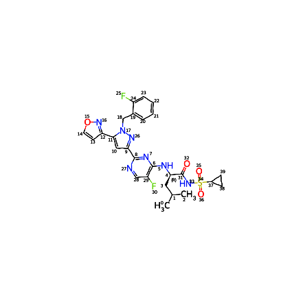 CC(C)C[C@@H](Nc1nc(-c2cc(-c3ccon3)n(Cc3ccccc3F)n2)ncc1F)C(=O)NS(=O)(=O)C1CC1